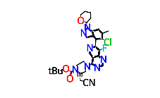 Cc1cc2c(cnn2C2CCCCO2)c(-c2ncc3c(N4CCN(C(=O)OC(C)(C)C)[C@@H](CC#N)C4)ncnc3c2F)c1Cl